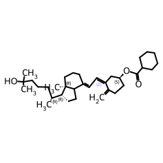 C=C1CC[C@H](OC(=O)C2CCCCC2)C/C1=C/C=C1CCC[C@@]2(C)C1CC[C@@H]2[C@H](C)CCCC(C)(C)O